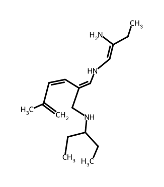 C=C(C)/C=C\C(=C/N/C=C(\N)CC)CNC(CC)CC